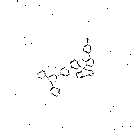 N#Cc1ccc(-c2cccc3c2Sc2ccc(-c4ccc(-c5cc(-c6ccccc6)nc(-c6ccccc6)n5)cc4)cc2C32c3ccccc3-c3ccccc32)cc1